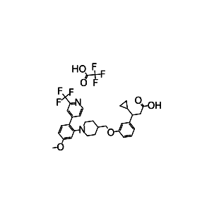 COc1ccc(-c2ccnc(C(F)(F)F)c2)c(N2CCC(COc3cccc(C(CC(=O)O)C4CC4)c3)CC2)c1.O=C(O)C(F)(F)F